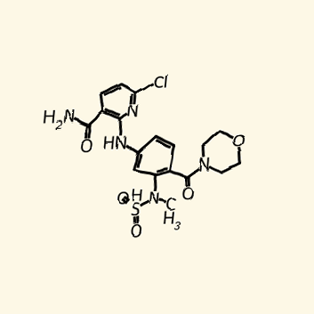 CN(c1cc(Nc2nc(Cl)ccc2C(N)=O)ccc1C(=O)N1CCOCC1)[SH](=O)=O